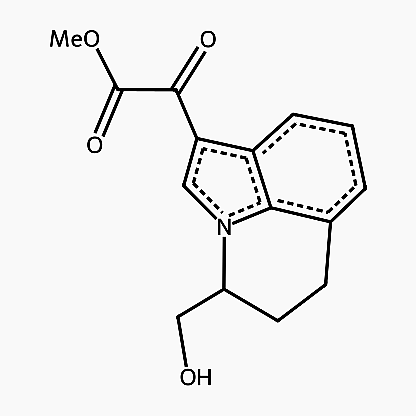 COC(=O)C(=O)c1cn2c3c(cccc13)CCC2CO